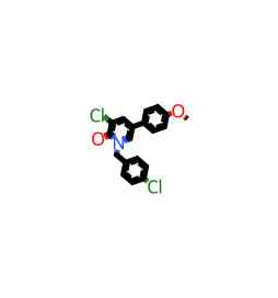 COc1ccc(-c2cc(Cl)c(=O)n(Cc3ccc(Cl)cc3)c2)cc1